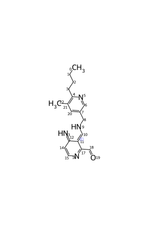 CCCCc1ncc(CN/C=C2\C(=N)C=CN=C2C=O)cc1C